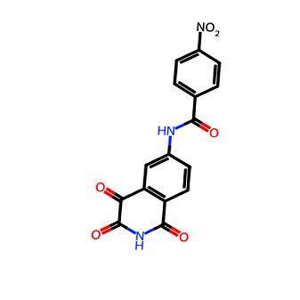 O=C1NC(=O)c2ccc(NC(=O)c3ccc([N+](=O)[O-])cc3)cc2C1=O